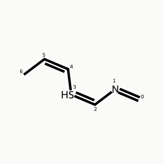 C=N/C=[SH]\C=C/C